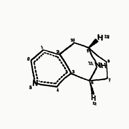 c1cc2c(cn1)[C@H]1CC[C@@H](C2)N1